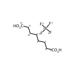 F[B-](F)(F)F.O=C(O)CCCCCCC(=O)O